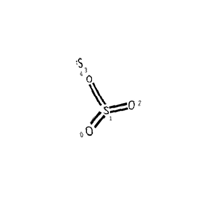 O=S(=O)=O.[S]